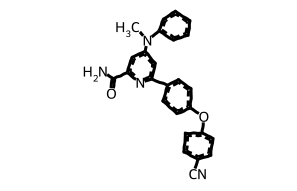 CN(c1ccccc1)c1cc(C(N)=O)nc(-c2ccc(Oc3ccc(C#N)cc3)cc2)c1